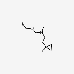 CN(CCC1(C)CC1)COCI